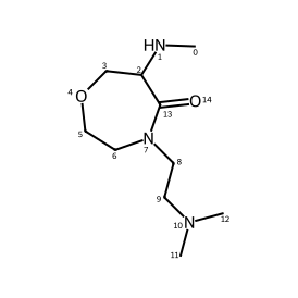 CNC1COCCN(CCN(C)C)C1=O